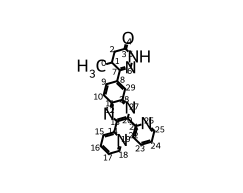 CC1CC(=O)NN=C1c1ccc2nc(-c3ccccn3)c(-c3ccccn3)nc2c1